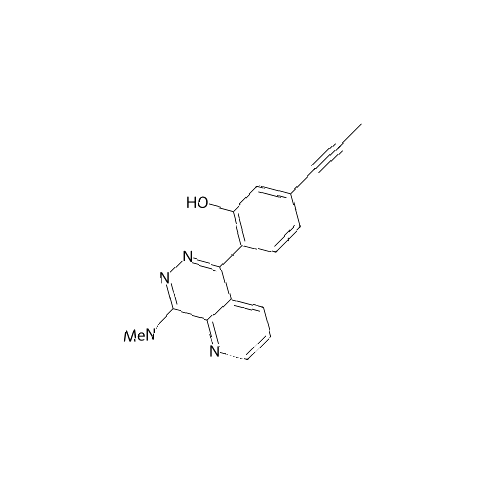 CC#Cc1ccc(-c2nnc(NC)c3ncccc23)c(O)c1